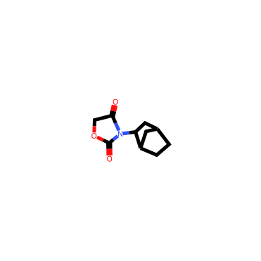 O=C1COC(=O)N1C1CC2CCC1C2